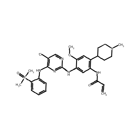 C=CC(=O)Nc1cc(Nc2ncc(Cl)c(Nc3ccccc3P(C)(C)=O)n2)c(OC)cc1C1CCN(C)CC1